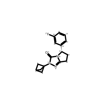 O=c1n(C23CC(C2)C3)nc2n1[C@H](c1cccc(F)c1)CC2